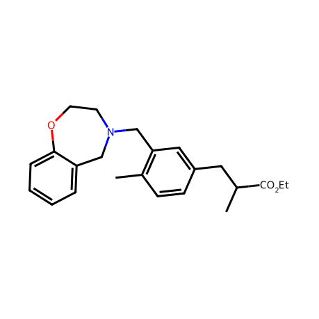 CCOC(=O)C(C)Cc1ccc(C)c(CN2CCOc3ccccc3C2)c1